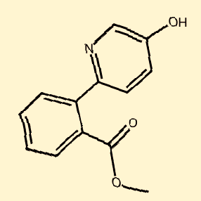 COC(=O)c1ccccc1-c1ccc(O)cn1